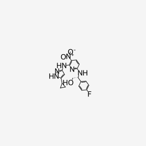 O=[N+]([O-])c1ccc(N[C@@H](CO)c2ccc(F)cc2)nc1Nc1cc(C2CC2)[nH]n1